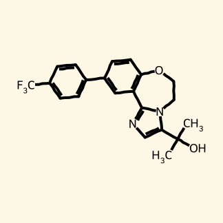 CC(C)(O)c1cnc2n1CCOc1ccc(-c3ccc(C(F)(F)F)cc3)cc1-2